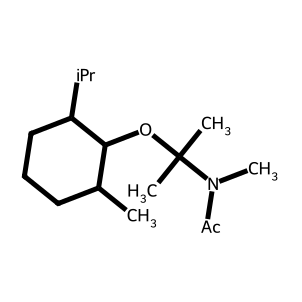 CC(=O)N(C)C(C)(C)OC1C(C)CCCC1C(C)C